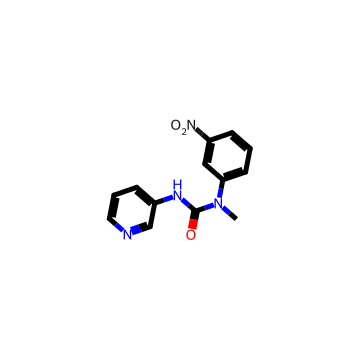 CN(C(=O)Nc1cccnc1)c1cccc([N+](=O)[O-])c1